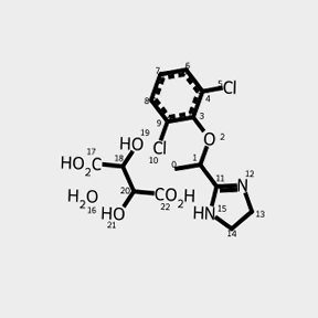 CC(Oc1c(Cl)cccc1Cl)C1=NCCN1.O.O=C(O)C(O)C(O)C(=O)O